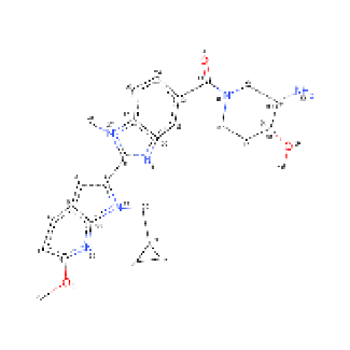 COc1ccc2cc(-c3nc4cc(C(=O)N5CC[C@@H](OC)[C@@H](N)C5)ccc4n3C)n(CC3CC3)c2n1